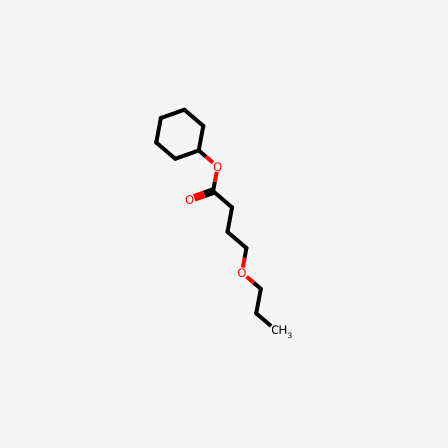 CCCOCCCC(=O)OC1CCCCC1